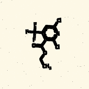 CCOC(=O)c1c(C(F)(F)F)cc(Cl)nc1Cl